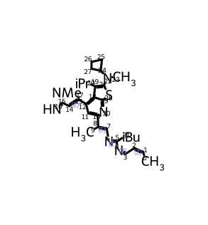 C\C=C/C=N\C(=N\C=C(/C)c1cc(/C(=C/C=N)NC)c2c(C(C)C)c(N(C)C3CCC3)sc2n1)C(C)CC